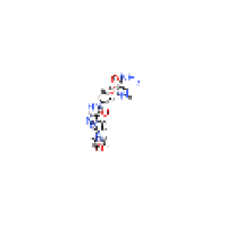 Cn1cc(C(N)=O)c(O[C@H]2CC[C@H](NC(=O)c3cnn4cc(N5CCOCC5)ccc34)CC2)n1